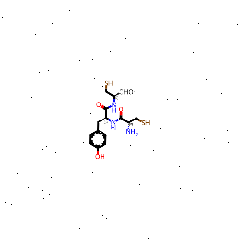 N[C@@H](CS)C(=O)N[C@@H](Cc1ccc(O)cc1)C(=O)N[C@H]([C]=O)CS